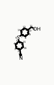 N#Cc1ccc(Sc2ccc(CO)cc2)cc1